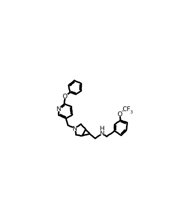 FC(F)(F)Oc1cccc(CNCC2C3CN(Cc4ccc(Oc5ccccc5)nc4)CC23)c1